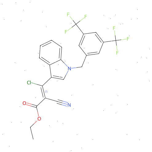 CCOC(=O)/C(C#N)=C(\Cl)c1cn(Cc2cc(C(F)(F)F)cc(C(F)(F)F)c2)c2ccccc12